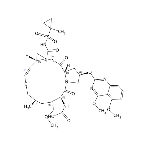 COC[C@@H]1C[C@@H](C)CC/C=C\[C@@H]2C[C@@]2(C(=O)NS(=O)(=O)C2(C)CC2)NC(=O)[C@@H]2C[C@@H](Oc3nc(OC)c4c(OC)cccc4n3)CN2C(=O)[C@H]1NC(=O)O